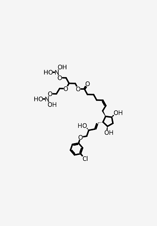 O=C(CCC/C=C\C[C@@H]1[C@@H](/C=C/[C@@H](O)COc2cccc(Cl)c2)[C@H](O)C[C@@H]1O)OCC(CON(O)O)OCCON(O)O